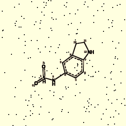 O=[SH](=O)Nc1ccc2c(c1)CCN2